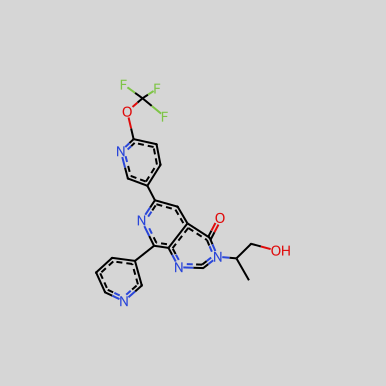 CC(CO)n1cnc2c(-c3cccnc3)nc(-c3ccc(OC(F)(F)F)nc3)cc2c1=O